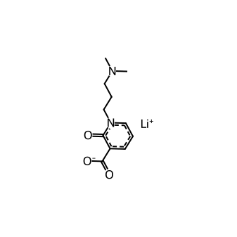 CN(C)CCCn1cccc(C(=O)[O-])c1=O.[Li+]